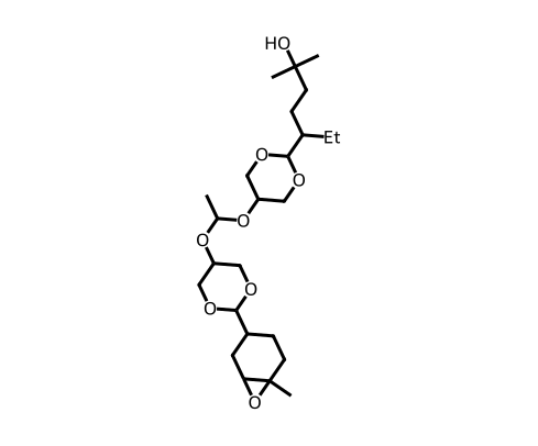 CCC(CCC(C)(C)O)C1OCC(OC(C)OC2COC(C3CCC4(C)OC4C3)OC2)CO1